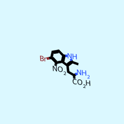 Cc1[nH]c2ccc(Br)c([N+](=O)[O-])c2c1CC(N)C(=O)O